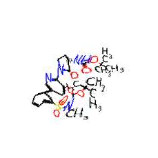 CN(C(=O)OC(C)(C)C)S(=O)(=O)c1ccccc1-c1ccc(N2CC[C@H](NC(=O)OC(C)(C)C)C2=O)nc1